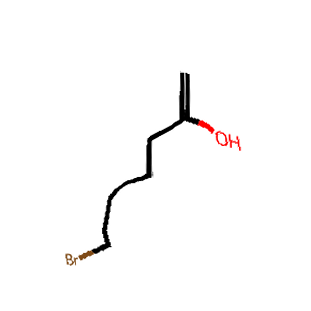 C=C(O)CCCCBr